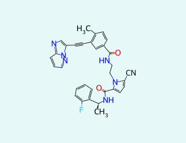 Cc1ccc(C(=O)NCCn2c(C#N)ccc2C(=O)N[C@@H](C)c2ccccc2F)cc1C#Cc1cnc2cccnn12